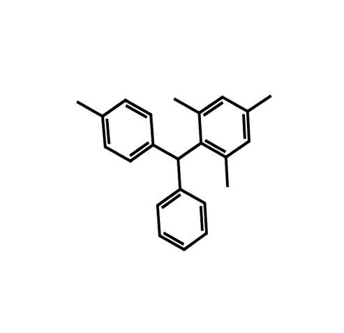 Cc1ccc(C(c2ccccc2)c2c(C)cc(C)cc2C)cc1